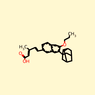 CCCOc1cc2ccc(C=CC(C)=CC(=O)O)cc2cc1C12CC3CC(CC(C3)C1)C2